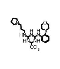 ClC(Cl)(Cl)C1NC(NCCCN2CCCC2)NC(Nc2ccccc2N2CCOCC2)N1